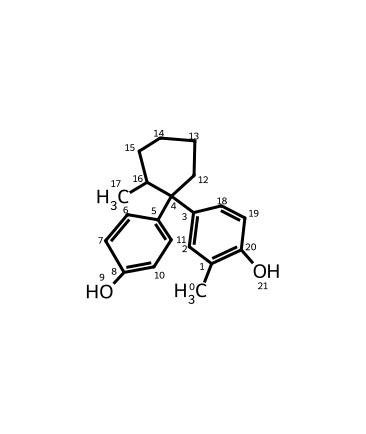 Cc1cc(C2(c3ccc(O)cc3)CCCCC2C)ccc1O